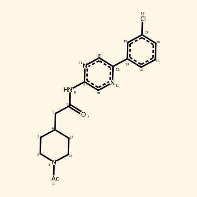 CC(=O)N1CCC(CC(=O)Nc2cnc(-c3cccc(Cl)c3)cn2)CC1